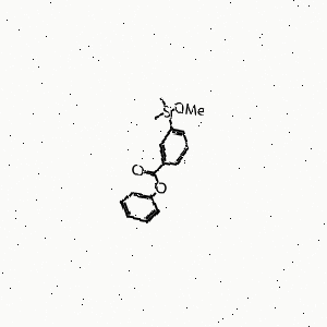 CO[Si](C)(C)c1cccc(C(=O)Oc2ccccc2)c1